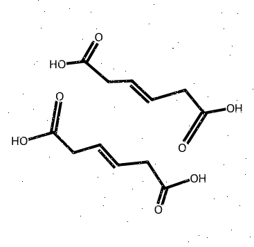 O=C(O)CC=CCC(=O)O.O=C(O)CC=CCC(=O)O